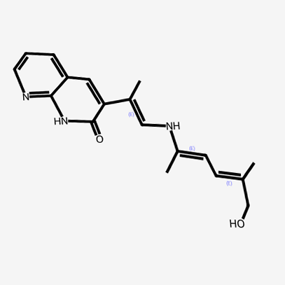 C/C(=C\C=C(/C)N/C=C(\C)c1cc2cccnc2[nH]c1=O)CO